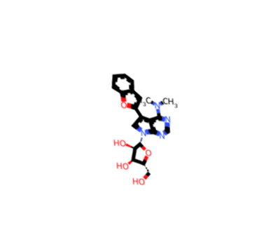 CN(C)c1ncnc2c1c(-c1cc3ccccc3o1)cn2[C@@H]1O[C@H](CO)[C@@H](O)[C@H]1O